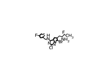 C[C@H](F)[C@H](N)Cc1cc2c(NCc3cc(F)cs3)nc(Cl)nn2c1Br